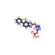 O=C(O)Cc1nnc(Cc2nc3ccc(-c4ccccn4)c(F)c3s2)o1